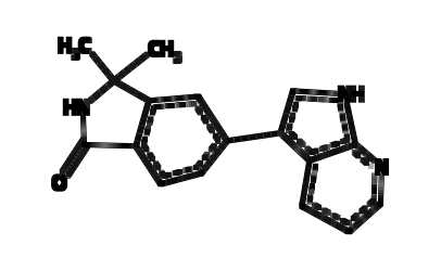 CC1(C)NC(=O)c2ccc(-c3c[nH]c4ncccc34)cc21